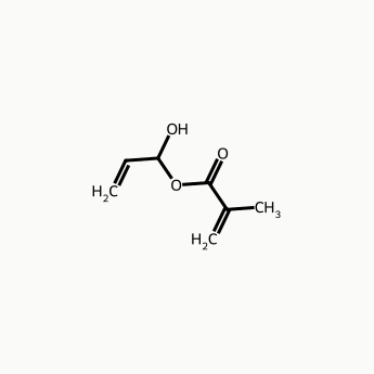 C=CC(O)OC(=O)C(=C)C